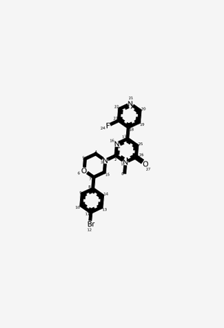 Cn1c(N2CCOC(c3ccc(Br)cc3)C2)nc(-c2ccncc2F)cc1=O